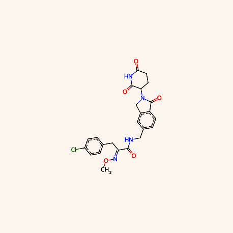 CO/N=C(\Cc1ccc(Cl)cc1)C(=O)NCc1ccc2c(c1)CN(C1CCC(=O)NC1=O)C2=O